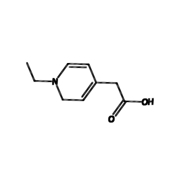 CCN1C=CC(CC(=O)O)=CC1